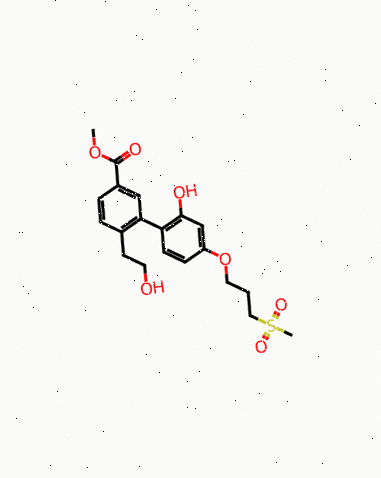 COC(=O)c1ccc(CCO)c(-c2ccc(OCCCS(C)(=O)=O)cc2O)c1